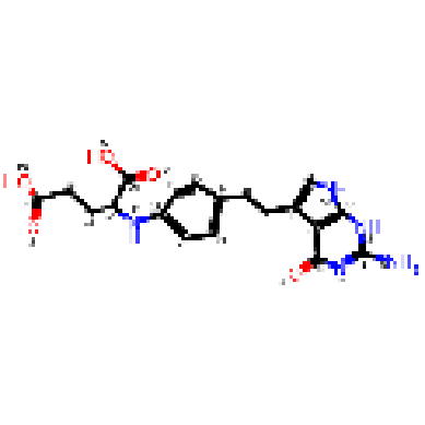 Nc1nc(=O)c2c(CCc3ccc(N[C@@H](CCC(=O)O)C(=O)O)cc3)c[nH]c2[nH]1